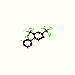 ClC(Cl)(Cl)c1ccc(-c2ccccc2)c(C(Cl)(Cl)Cl)c1